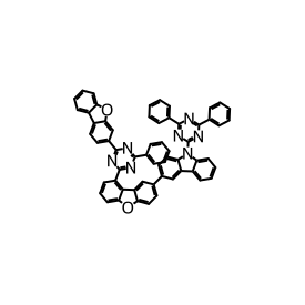 c1ccc(-c2nc(-c3ccc4c(c3)oc3ccccc34)nc(-c3cccc4oc5ccc(-c6ccc7c(c6)c6ccccc6n7-c6nc(-c7ccccc7)nc(-c7ccccc7)n6)cc5c34)n2)cc1